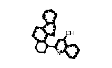 Oc1cc(C2CCCc3ccc4c(ccc5ccccc54)c32)nc2ccccc12